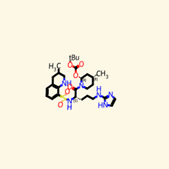 CC1CNc2c(cccc2S(=O)(=O)N[C@@H](CCCNc2ncc[nH]2)C(=O)N2CC[C@@H](C)C[C@H]2OC(=O)OC(C)(C)C)C1